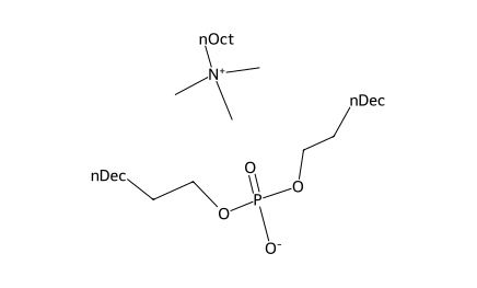 CCCCCCCCCCCCOP(=O)([O-])OCCCCCCCCCCCC.CCCCCCCC[N+](C)(C)C